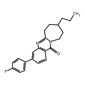 CCCC1CCc2nc3cc(-c4ccc(F)cc4)ccc3c(=O)n2CC1